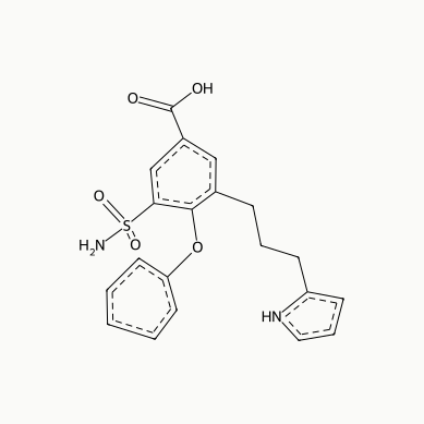 NS(=O)(=O)c1cc(C(=O)O)cc(CCCc2ccc[nH]2)c1Oc1ccccc1